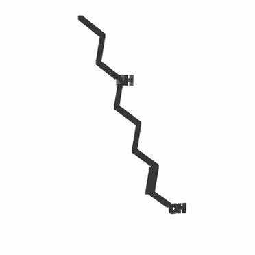 CCCNCCCC=CO